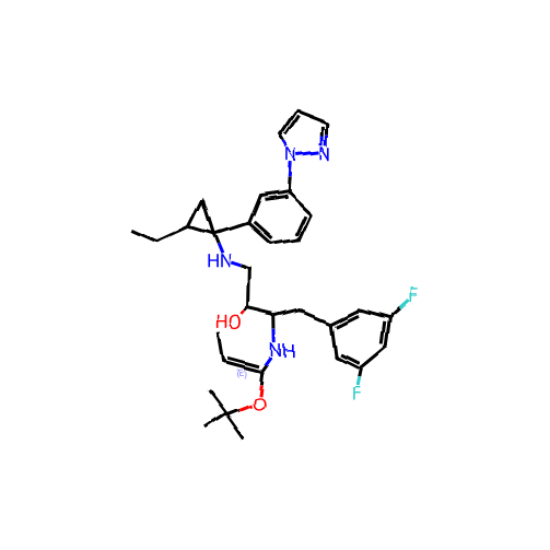 C/C=C(\NC(Cc1cc(F)cc(F)c1)C(O)CNC1(c2cccc(-n3cccn3)c2)CC1CC)OC(C)(C)C